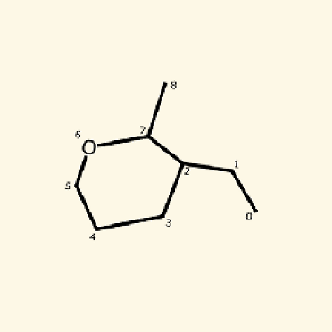 CCC1CCCOC1C